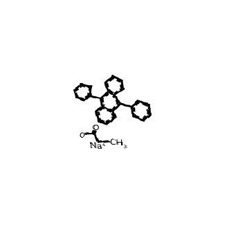 CCC(=O)[O-].[Na+].c1ccc(-c2c3ccccc3c(-c3ccccc3)c3ccccc23)cc1